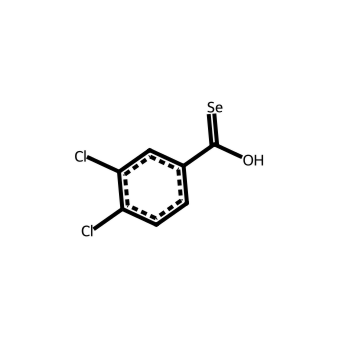 OC(=[Se])c1ccc(Cl)c(Cl)c1